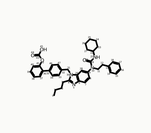 CCCCc1nc2ccc(N(CCc3ccccc3)C(=O)NC3CCCCC3)cc2n1Cc1ccc(-c2ccccc2OC(=O)O)cc1